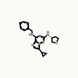 c1ccc(CNc2nc(N[C@@H]3CCOC3)nn3c(C4CC4)cnc23)cc1